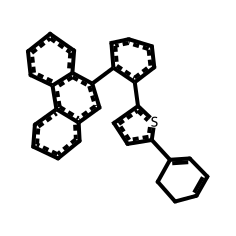 C1=CCCC(c2ccc(-c3ccccc3-c3cc4ccccc4c4ccccc34)s2)=C1